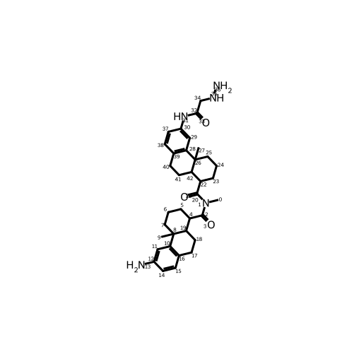 CN(C(=O)C1CCCC2(C)c3cc(N)ccc3CCC12)C(=O)C1CCCC2(C)c3cc(NC(=O)CNN)ccc3CCC12